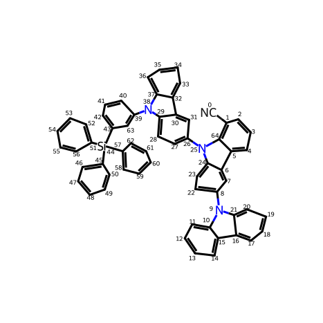 N#Cc1cccc2c3cc(-n4c5ccccc5c5ccccc54)ccc3n(-c3ccc4c(c3)c3ccccc3n4-c3cccc([Si](c4ccccc4)(c4ccccc4)c4ccccc4)c3)c12